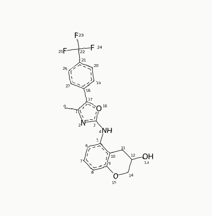 Cc1nc(Nc2cccc3c2CC(O)CO3)oc1-c1ccc(C(F)(F)F)cc1